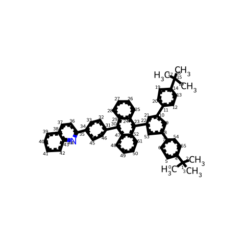 CC(C)(C)c1ccc(-c2cc(-c3ccc(C(C)(C)C)cc3)cc(-c3c4ccccc4c(-c4ccc(-c5ccc6ccccc6n5)cc4)c4ccccc34)c2)cc1